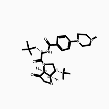 CN1CCN(c2ccc(C(=O)N[C@@H](CC(C)(C)C)C(=O)N3C[C@H](C(C)(C)C)[C@H]4OCC(=O)[C@H]43)cc2)CC1